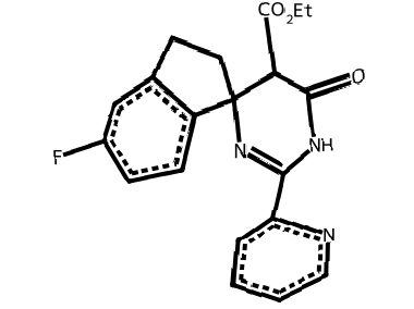 CCOC(=O)C1C(=O)NC(c2ccccn2)=NC12CCc1cc(F)ccc12